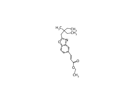 CCOC(=O)C=Cc1ccc2oc(CC(C)(CC)CC)nc2c1